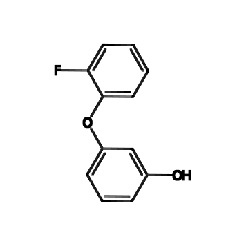 Oc1cccc(Oc2ccccc2F)c1